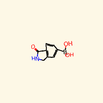 O=C1NCc2cc(B(O)O)ccc21